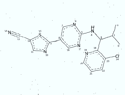 CC(C)C(Nc1ncc(-c2ncc(C#N)s2)cn1)c1ncccc1Cl